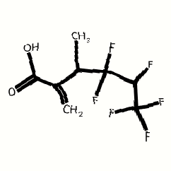 C=C(C(=O)O)C(C)C(F)(F)C(F)C(F)(F)F